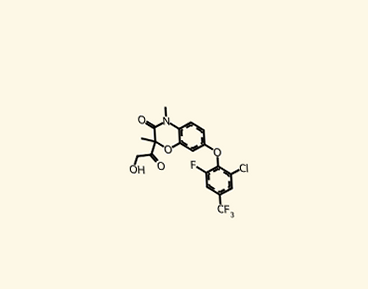 CN1C(=O)C(C)(C(=O)CO)Oc2cc(Oc3c(F)cc(C(F)(F)F)cc3Cl)ccc21